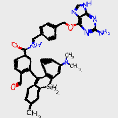 CC1C=CC2=C(c3cc(C(=O)NCc4ccc(COc5nc(N)nc6[nH]cnc56)cc4)ccc3C=O)c3ccc(N(C)C)cc3[SiH2]C2=C1